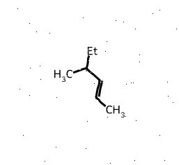 C/C=C/[C](C)CC